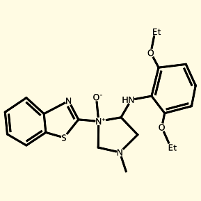 CCOc1cccc(OCC)c1NC1CN(C)C[N+]1([O-])c1nc2ccccc2s1